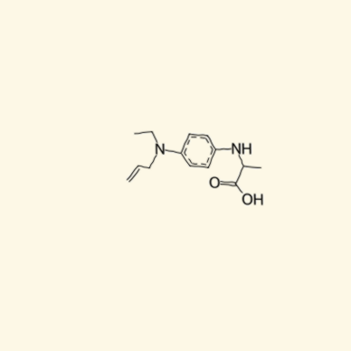 C=CCN(CC)c1ccc(NC(C)C(=O)O)cc1